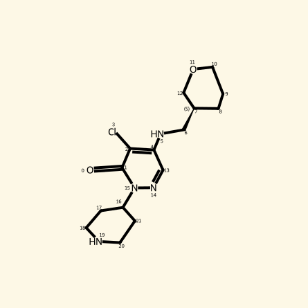 O=c1c(Cl)c(NC[C@@H]2CCCOC2)cnn1C1CCNCC1